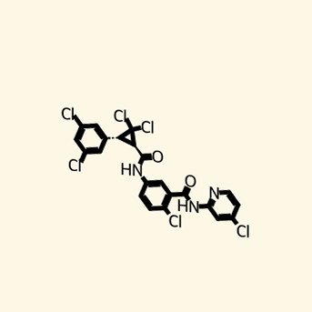 O=C(Nc1cc(Cl)ccn1)c1cc(NC(=O)[C@H]2[C@H](c3cc(Cl)cc(Cl)c3)C2(Cl)Cl)ccc1Cl